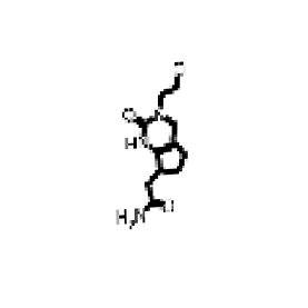 NC(=O)CC1CCC2=C1NC(=O)N(CCCl)C2